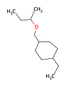 CCC1CCC(COC(C)CC)CC1